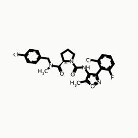 Cc1onc(-c2c(F)cccc2Cl)c1NC(=O)N1CCC[C@@H]1C(=O)N(C)Cc1ccc(Cl)cc1